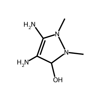 CN1C(N)=C(N)C(O)N1C